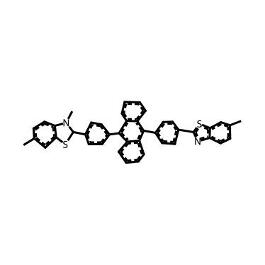 Cc1ccc2c(c1)SC(c1ccc(-c3c4ccccc4c(-c4ccc(-c5nc6ccc(C)cc6s5)cc4)c4ccccc34)cc1)N2C